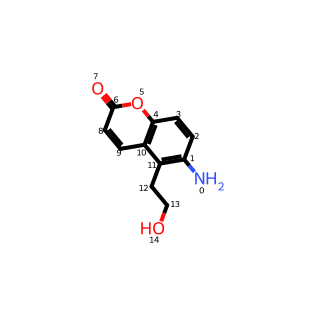 Nc1ccc2oc(=O)ccc2c1CCO